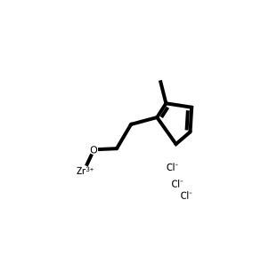 CC1=C(CC[O][Zr+3])CC=C1.[Cl-].[Cl-].[Cl-]